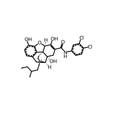 CCC(C)CN1CC[C@]23c4c5ccc(O)c4O[C@H]2C(O)=C(C(=O)Nc2ccc(Cl)c(Cl)c2)C[C@@]3(O)[C@H]1C5